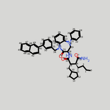 CCCC[C@H](C(N)=O)[C@@H](CC1CCCC1)C(=O)NC1CN(c2ccccc2)c2ccccc2N(Cc2cccc(-c3ccc4ccccc4c3)c2)C1=O